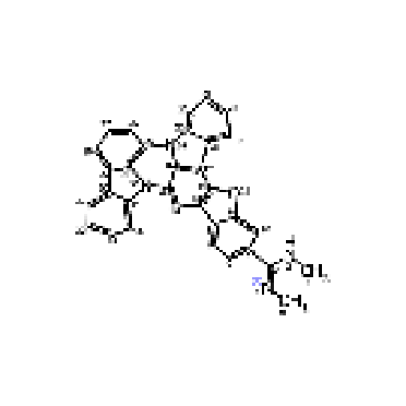 C/N=C(\NC)c1ccc2c(c1)oc1c2cc2c3c1c1ccccc1n3c1cccc3c4ccccc4n2c31